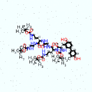 Cc1cc(-c2ccc(O)c(C[C@H](NC(=O)OC(C)(C)C)C(=O)N[C@@H](CCCNC(=O)OC(C)(C)C)C(=O)NCC(=O)N[C@@H](CCCNC(=O)OC(C)(C)C)C(=O)NCCNC(=O)OC(C)(C)C)c2)ccc1O